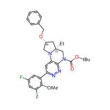 CC[C@@]12C[C@@H](OCc3ccccc3)CN1c1cc(-c3cc(F)cc(F)c3OC)nnc1N(C(=O)OC(C)(C)C)C2